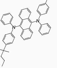 CCCC(C)(C)c1ccc(N(c2ccccc2)c2c3ccccc3c(N(c3ccccc3)c3ccc(C)cc3)c3ccccc23)cc1